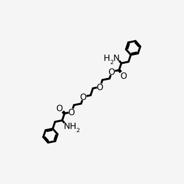 NC(Cc1ccccc1)C(=O)OCCOCCOCCOC(=O)C(N)Cc1ccccc1